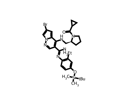 CCc1cc(O[Si](C)(C)C(C)(C)C)ccc1/N=C(\N)c1cnn2cc(Br)cc2c1NC[C@@H]1CCCN1C(=O)C1CC1